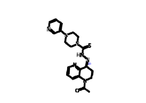 CC(=O)N1CC/C(=N/NC(=S)N2CCN(c3cccnc3)CC2)c2ncccc21